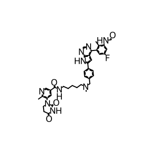 Cc1ncc(C(=O)NCCCCCN(C)Cc2ccc(-c3cc4c(-c5cc(F)cc(NC=O)c5C)ncnc4[nH]3)cc2)cc1N1CCC(=O)NC1=O